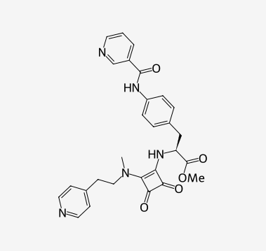 COC(=O)[C@H](Cc1ccc(NC(=O)c2cccnc2)cc1)Nc1c(N(C)CCc2ccncc2)c(=O)c1=O